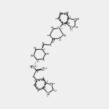 O=C(Cc1ccc2c(c1)OCO2)N[C@H]1CC[C@H](CCN2CCN(c3cccc4c3OCO4)CC2)CC1